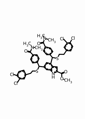 COC(=O)c1cc2c(C(SCCc3ccc(Cl)c(Cl)c3)c3ccc(C(=O)N(C)C)cc3)cc(C(SCCc3ccc(Cl)c(Cl)c3)c3ccc(C(=O)N(C)C)cc3)cc2[nH]1